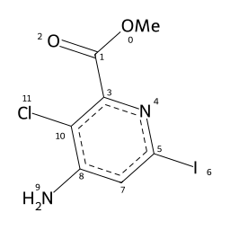 COC(=O)c1nc(I)cc(N)c1Cl